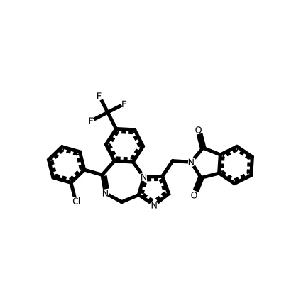 O=C1c2ccccc2C(=O)N1Cc1cnc2n1-c1ccc(C(F)(F)F)cc1C(c1ccccc1Cl)=NC2